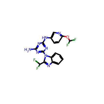 Nc1nc(Nc2ccc(OC(F)F)nc2)nc(-n2c(C(F)F)nc3ccccc32)n1